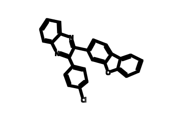 Clc1ccc(-c2nc3ccccc3nc2-c2ccc3c(c2)oc2ccccc23)cc1